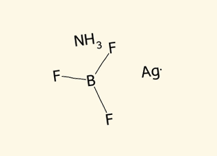 FB(F)F.N.[Ag]